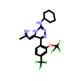 CC(=N)/C=C1\NC(NC2CCCCC2)=NN=C1c1ccc(C(F)(F)F)cc1OC(F)(F)F